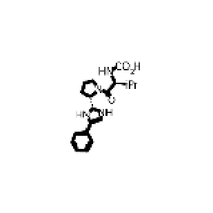 CC(C)[C@H](NC(=O)O)C(=O)N1CCC[C@H]1C1NC=C(c2ccccc2)N1